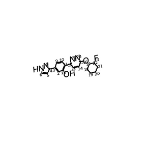 Oc1cc(-c2cc[nH]n2)ccc1-c1ccc(O[C@H]2CCCC[C@H]2F)nn1